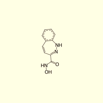 O=C(NO)C1=NNc2ccccc2C=C1